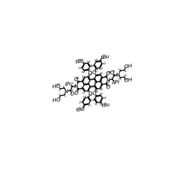 CC(C)C(C(=O)N(CCO)CCO)N1C(=O)c2cc(Oc3ccc(C(C)(C)C)cc3)c3c4c(Oc5ccc(C(C)(C)C)cc5)cc5c6c(cc(Oc7ccc(C(C)(C)C)cc7)c(c7c(Oc8ccc(C(C)(C)C)cc8)cc(c2c37)C1=O)c64)C(=O)N(C(C(=O)N(CCO)CCO)C(C)C)C5=O